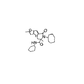 Cc1cc2c(cc3n2CC(C)(C(=O)NC2CCCCC2)N(C2CCCCCC2)C3=O)o1